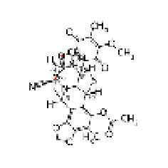 COC1=C(C)C(=O)C2=C(C1=O)[C@@H]1C3[C@@H]4SCC(O)C(=O)OC[C@@H](c5c6c(c(C)c(OC(C)=O)c54)OCO6)N3[C@@H](C#N)[C@H](C2)N1C